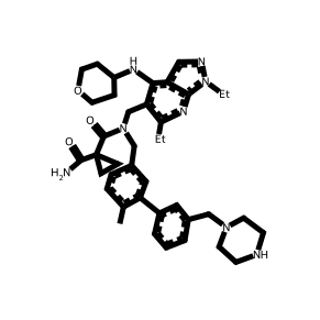 CCc1nc2c(cnn2CC)c(NC2CCOCC2)c1CN(Cc1ccc(C)c(-c2cccc(CN3CCNCC3)c2)c1)C(=O)C1(C(N)=O)CC1